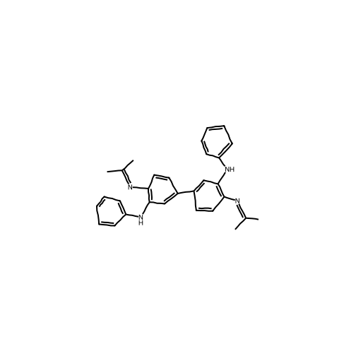 CC(C)=Nc1ccc(-c2ccc(N=C(C)C)c(Nc3ccccc3)c2)cc1Nc1ccccc1